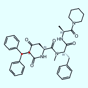 C[C@H](NC(=O)[C@H](Cc1ccccc1)N(C)C(=O)[C@H](CC(=O)SCc1ccccc1)NC(=O)CCc1ccccc1)C(=O)N1CCCCC1